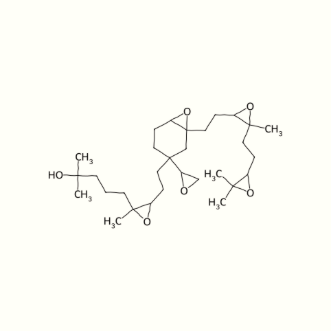 CC(C)(O)CCCC1(C)OC1CCC1(C2CO2)CCC2OC2(CCC2OC2(C)CCC2OC2(C)C)C1